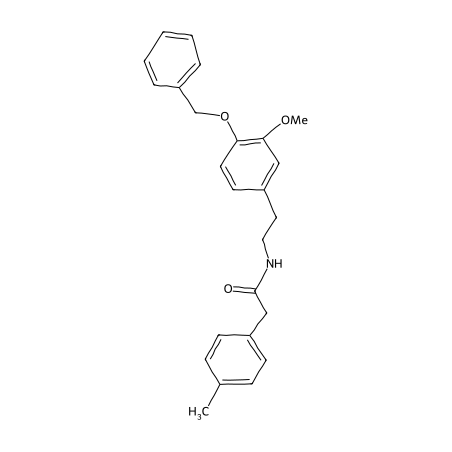 COc1cc(CCNC(=O)Cc2ccc(C)cc2)ccc1OCc1ccccc1